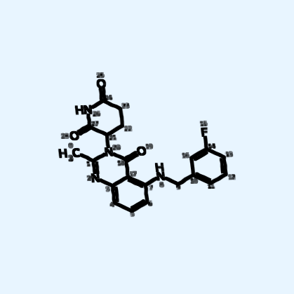 Cc1nc2cccc(NCc3cccc(F)c3)c2c(=O)n1C1CCC(=O)NC1=O